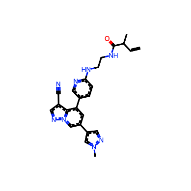 C=CC(C)C(=O)NCCNc1ccc(-c2cc(-c3cnn(C)c3)cn3ncc(C#N)c23)cn1